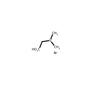 C[S+](C)CC(=O)O.[Br-]